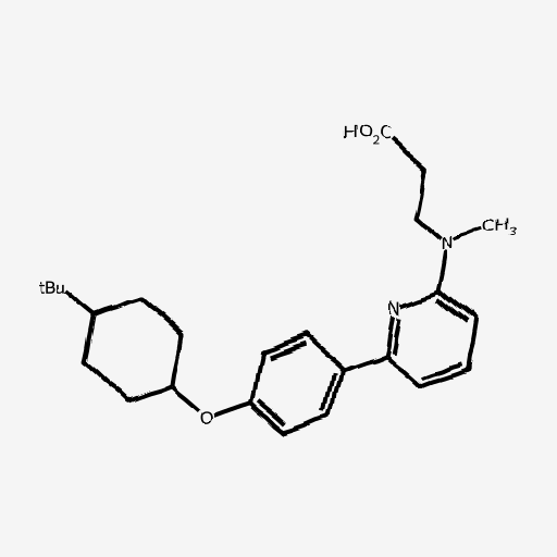 CN(CCC(=O)O)c1cccc(-c2ccc(OC3CCC(C(C)(C)C)CC3)cc2)n1